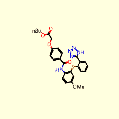 CCCCOC(=O)COc1ccc(C(=O)Nc2ccc(OC)cc2Sc2ccccc2-c2nnn[nH]2)cc1